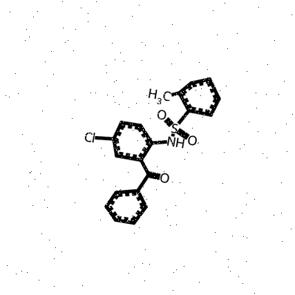 Cc1ccccc1S(=O)(=O)Nc1ccc(Cl)cc1C(=O)c1ccccc1